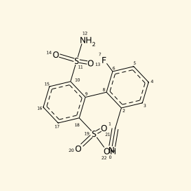 N#Cc1cccc(F)c1-c1c(S(N)(=O)=O)cccc1S(=O)(=O)O